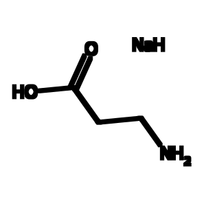 NCCC(=O)O.[NaH]